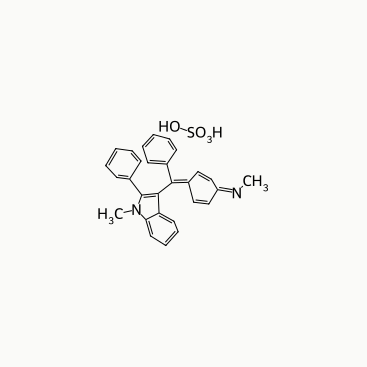 CN=C1C=CC(=C(c2ccccc2)c2c(-c3ccccc3)n(C)c3ccccc23)C=C1.O=S(=O)(O)O